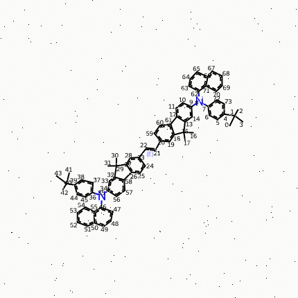 CC(C)(C)c1ccc(N(c2ccc3c(c2)C(C)(C)c2cc(/C=C/c4ccc5c(c4)C(C)(C)c4cc(N(c6ccc(C(C)(C)C)cc6)c6cccc7ccccc67)ccc4-5)ccc2-3)c2cccc3ccccc23)cc1